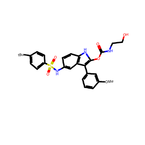 COc1cccc(-c2c(OC(=O)NCCO)[nH]c3ccc(NS(=O)(=O)c4ccc(C(C)(C)C)cc4)cc23)c1